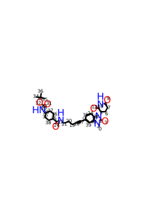 Cn1c(=O)n(C2CCC(=O)NC2=O)c2ccc(C#CCCCNC(=O)C3CCC(NC(=O)OC(C)(C)C)CC3)cc21